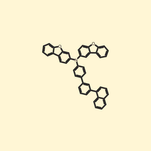 c1cc(-c2ccc(N(c3ccc4c(c3)oc3ccccc34)c3ccc4oc5ccccc5c4c3)cc2)cc(-c2cccc3ccccc23)c1